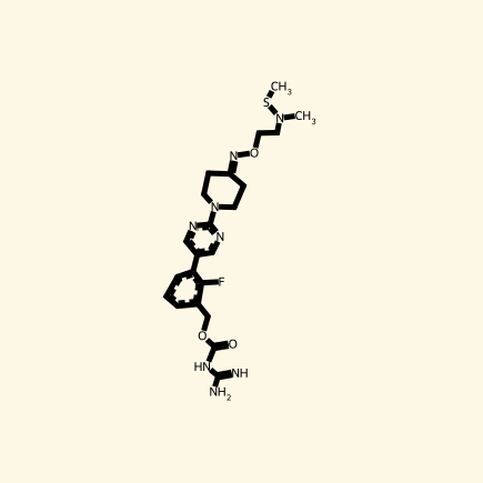 CSN(C)CCON=C1CCN(c2ncc(-c3cccc(COC(=O)NC(=N)N)c3F)cn2)CC1